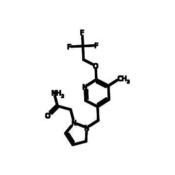 Cc1cc(CN2CC=CN2CC(N)=O)cnc1OCC(F)(F)F